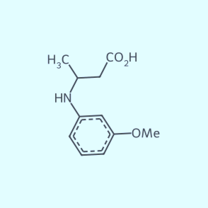 COc1cccc(NC(C)CC(=O)O)c1